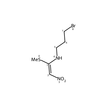 CS/C(=C/[N+](=O)[O-])NCCCBr